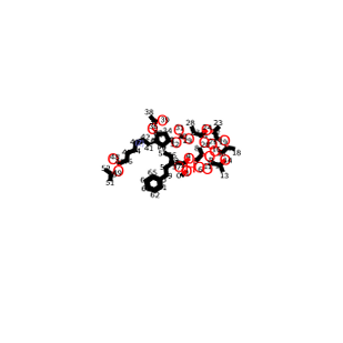 COC(C)OC(=O)C(C)OC(=O)C(C)OC(=O)C(C)OC(=O)C(C)OC(=O)C(C)OC(=O)O[C@@H]1C[C@H](OC(C)=O)[C@H](C/C=C\CCCC(=O)OC(C)C)[C@H]1CC[C@@H](O)CCc1ccccc1